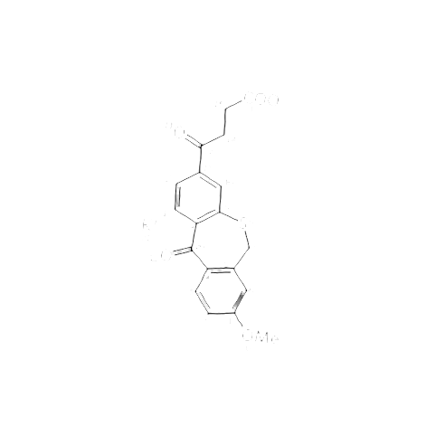 COc1ccc2c(c1)CSc1cc(C(=O)CCC(=O)[O-])ccc1C2=O.[K+]